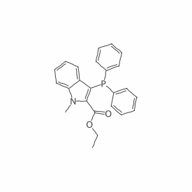 CCOC(=O)c1c(P(c2ccccc2)c2ccccc2)c2ccccc2n1C